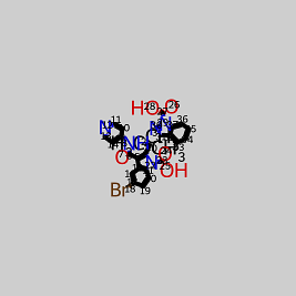 CC(C)(C)c1c(C(=O)Nc2ccncc2)c2cc(Br)ccc2n1C(=O)O.O=C(O)n1ncc2ccccc21